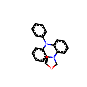 C1=CN(c2ccccc2N(c2ccccc2)c2ccccc2)CO1